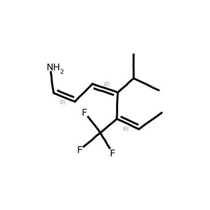 C\C=C(/C(=C\C=C/N)C(C)C)C(F)(F)F